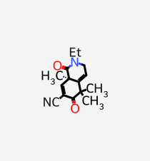 CCN1CC=C2C(C)(C)C(=O)C(C#N)=C[C@@]2(C)C1=O